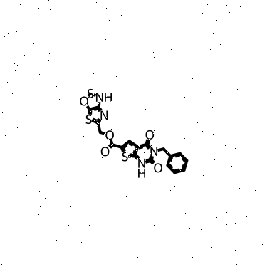 O=C(OCc1nc2c(s1)OSN2)c1cc2c(=O)n(Cc3ccccc3)c(=O)[nH]c2s1